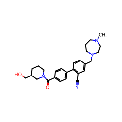 CN1CCCN(Cc2ccc(-c3ccc(C(=O)N4CCCC(CO)C4)cc3)c(C#N)c2)CC1